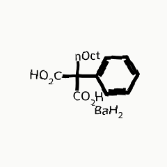 CCCCCCCCC(C(=O)O)(C(=O)O)c1ccccc1.[BaH2]